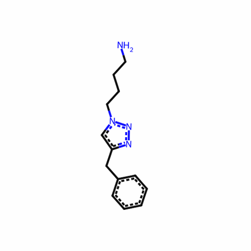 NCCCCn1cc(Cc2ccccc2)nn1